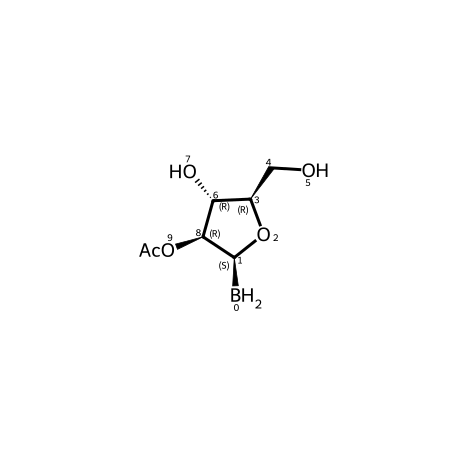 B[C@@H]1O[C@H](CO)[C@@H](O)[C@@H]1OC(C)=O